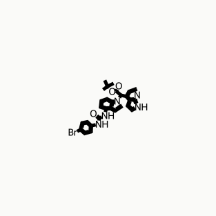 CC(C)(C)OC(=O)C(c1ccnc2[nH]ccc12)n1ccc2c(NC(=O)Nc3ccc(Br)cc3)cccc21